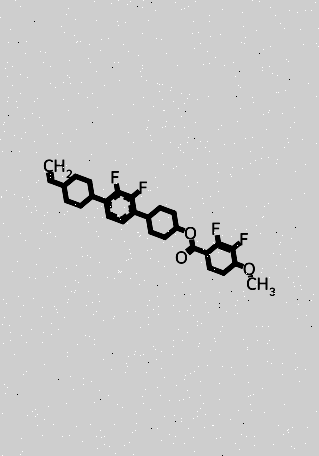 C=CC1CCC(c2ccc(C3CCC(OC(=O)C4CCC(OC)C(F)=C4F)CC3)c(F)c2F)CC1